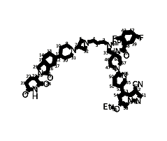 CCCN(CCCN1CC(N2CCC(c3ccc4c(c3)C(=O)N(C3CCC(=O)NC3=O)C4)CC2)C1)CC1(NC(=O)c2cc(F)ccc2F)CCN(c2ccc(-c3cc(OCC)cn4ncc(C#N)c34)cn2)CC1